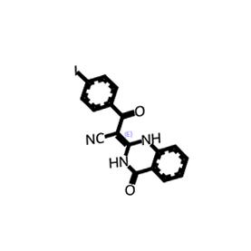 N#C/C(C(=O)c1ccc(I)cc1)=C1\NC(=O)c2ccccc2N1